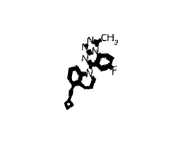 Cc1nnc2nc(N3CCCc4c(C#CC5CCC5)cccc43)c3cc(F)ccc3n12